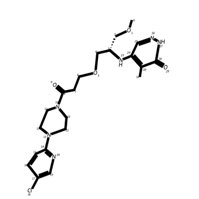 COC[C@@H](COCCC(=O)N1CCN(c2ccc(Cl)cn2)CC1)Nc1cn[nH]c(=O)c1C